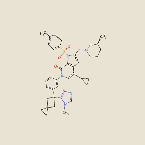 Cc1ccc(S(=O)(=O)n2c(CN3CCC[C@H](C)C3)cc3c(C4CC4)cn(-c4cccc(C5(c6nncn6C)CC6(CC6)C5)c4)c(=O)c32)cc1